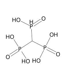 O=[PH](O)C(P(=O)(O)O)P(=O)(O)O